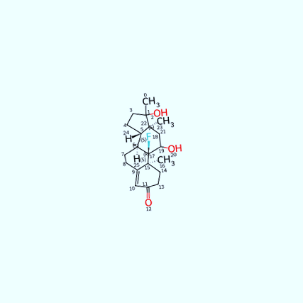 CC1(O)CC[C@H]2[C@@H]3CCC4=CC(=O)CC[C@]4(C)[C@@]3(F)C(O)C[C@@]21C